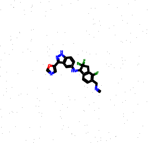 C=NCc1ccc2c(c1F)CC(F)(F)C2Nc1ccc2[nH]nc(-c3cnco3)c2c1